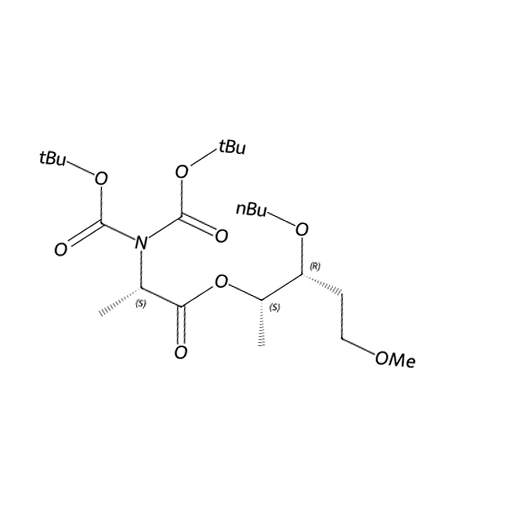 CCCCO[C@H](CCOC)[C@H](C)OC(=O)[C@H](C)N(C(=O)OC(C)(C)C)C(=O)OC(C)(C)C